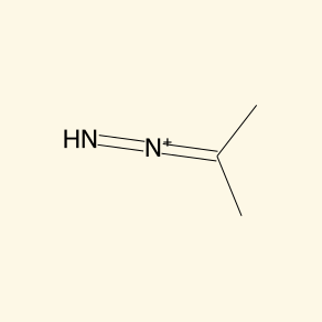 CC(C)=[N+]=N